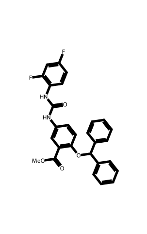 COC(=O)c1cc(NC(=O)Nc2ccc(F)cc2F)ccc1OC(c1ccccc1)c1ccccc1